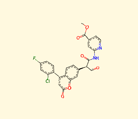 COC(=O)c1ccnc(NC(=O)[C@@H](C=O)c2ccc3c(-c4ccc(F)cc4Cl)cc(=O)oc3c2)c1